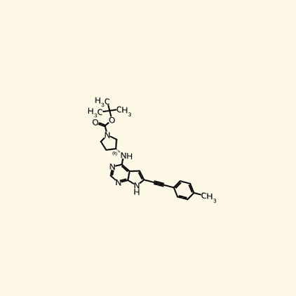 Cc1ccc(C#Cc2cc3c(N[C@@H]4CCN(C(=O)OC(C)(C)C)C4)ncnc3[nH]2)cc1